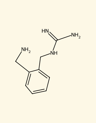 N=C(N)NCc1ccccc1CN